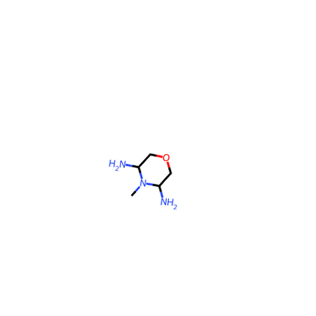 CN1C(N)COCC1N